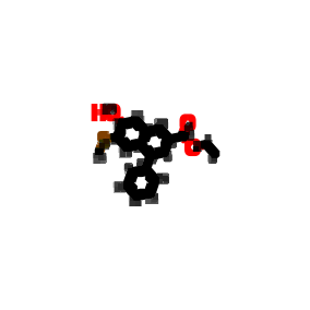 CCOC(=O)c1cc(-c2ccccc2)c2cc(SC)c(O)cc2c1